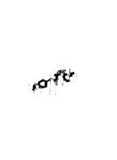 C=C(Cl)/N=C1\C(=C/C)N=C(NCc2ccc(S(C)(=O)=O)cc2)C(=O)N1C(C)C